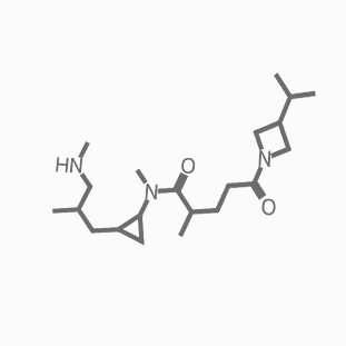 CNCC(C)CC1CC1N(C)C(=O)C(C)CCC(=O)N1CC(C(C)C)C1